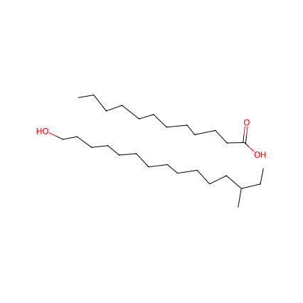 CCC(C)CCCCCCCCCCCCO.CCCCCCCCCCCC(=O)O